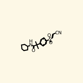 CC(C)(C(=O)NC1CCCCC1)c1ccc(S(=O)(=O)C=CC#N)cc1